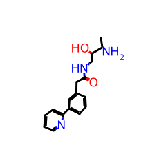 CC(N)C(O)CNC(=O)Cc1cccc(-c2ccccn2)c1